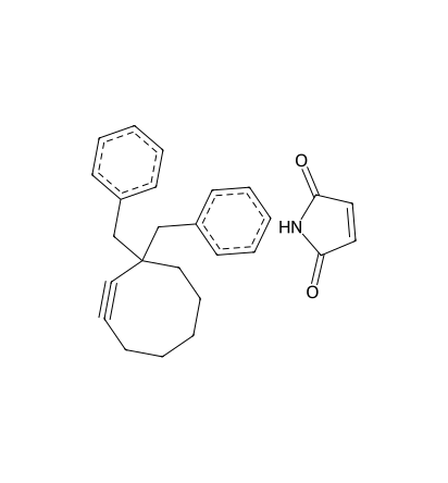 C1#CC(Cc2ccccc2)(Cc2ccccc2)CCCCC1.O=C1C=CC(=O)N1